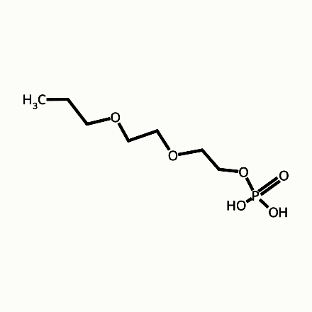 CCCOCCOCCOP(=O)(O)O